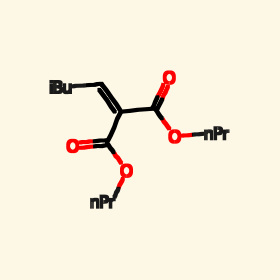 CCCOC(=O)C(=CC(C)CC)C(=O)OCCC